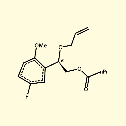 C=CCO[C@@H](COC(=O)CCC)c1cc(F)ccc1OC